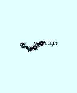 CCOC(=O)Cc1ccc(-c2cnc3cc(-c4cnn(CCN5CCOCC5)c4)ccc3n2)cc1